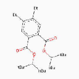 CCCCC(OC(=O)c1cc(CC)c(CC)cc1C(=O)OC(CCCC)C(C)(C)C)C(C)(C)C